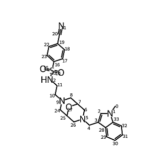 Cn1cc(CN2CC3CN(CCNS(=O)(=O)c4ccc(C#N)cc4)CC(C2)O3)c2ccccc21